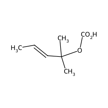 CC=CC(C)(C)OC(=O)O